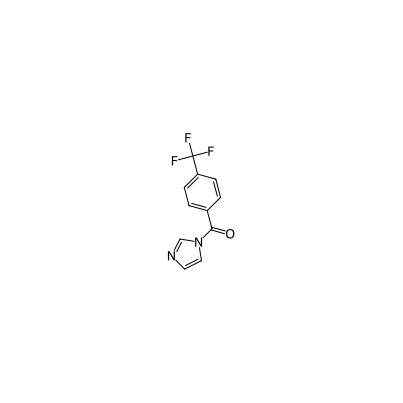 O=C(c1ccc(C(F)(F)F)cc1)n1ccnc1